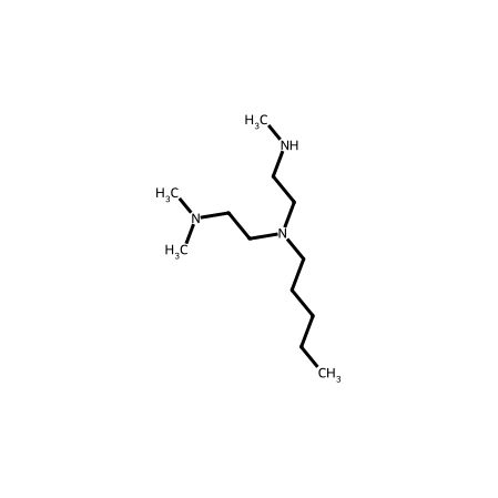 CCCCCN(CCNC)CCN(C)C